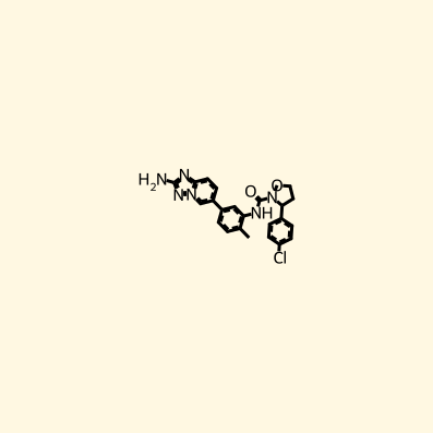 Cc1ccc(-c2ccc3nc(N)nn3c2)cc1NC(=O)N1OCCC1c1ccc(Cl)cc1